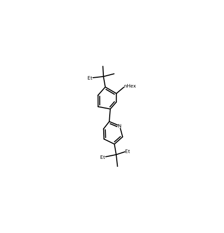 CCCCCCc1cc(-c2ccc(C(C)(CC)CC)cn2)ccc1C(C)(C)CC